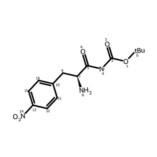 CC(C)(C)OC(=O)[N]C(=O)[C@@H](N)Cc1ccc([N+](=O)[O-])cc1